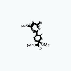 COC(=O)C1(OC)CCC(c2nc(C)cc(SC)n2)CC1